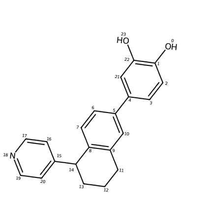 Oc1ccc(-c2ccc3c(c2)CCCC3c2ccncc2)cc1O